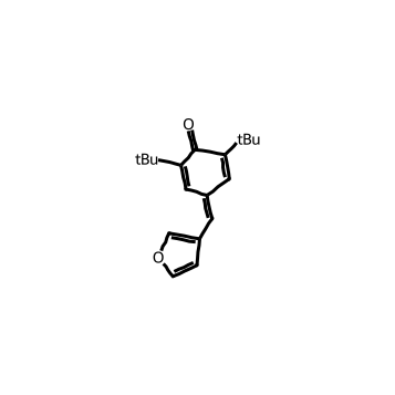 CC(C)(C)C1=CC(=Cc2ccoc2)C=C(C(C)(C)C)C1=O